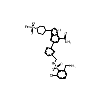 CCS(=O)(=O)N1CCC(c2c[nH]c3c(C(N)=O)cc(-c4cccc(CNS(=O)(=O)c5c(Cl)cccc5CN)c4)cc23)CC1